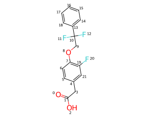 O=C(O)Cc1ccc(OCC(F)(F)c2ccccc2)c(F)c1